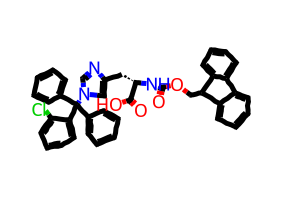 O=C(N[C@@H](Cc1cn(C(c2ccccc2)(c2ccccc2)c2ccccc2Cl)cn1)C(=O)O)OCC1c2ccccc2-c2ccccc21